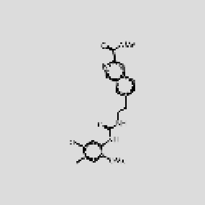 CNC(=O)c1cc2ccc(CCNC(=O)Nc3cc(Cl)c(C)cc3OC)cc2cn1